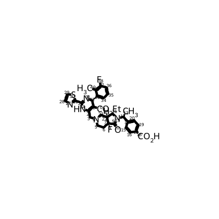 CCOC(=O)C1=C(CN2CC[C@]3(F)C(=O)N([C@@H](C)c4ccc(C(=O)O)cc4)C[C@@H]3C2)NC(c2nccs2)=N[C@H]1c1cccc(F)c1C